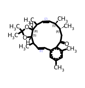 Cc1cc(C)c2c(c1)/C=C/C(C)[C@@H]1OC(C)(C)O[C@@H]1C(C)/C=C\[C@@H](C)[C@H](C)CC2=O